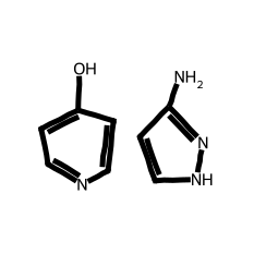 Nc1cc[nH]n1.Oc1ccncc1